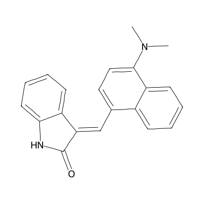 CN(C)c1ccc(/C=C2/C(=O)Nc3ccccc32)c2ccccc12